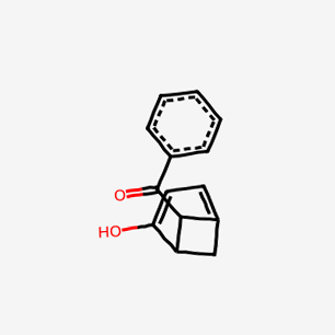 O=C(c1ccccc1)C1C2=CC=C(O)C1C2